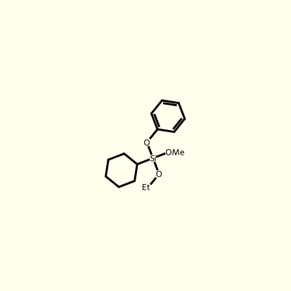 CCO[Si](OC)(Oc1ccccc1)C1CCCCC1